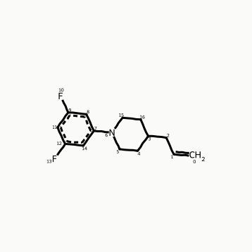 C=CCC1CCN(c2cc(F)cc(F)c2)CC1